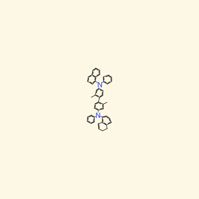 Cc1cc(N(c2ccccc2)c2cccc3c2C=CCC3)ccc1-c1ccc(N(c2ccccc2)c2cccc3ccccc23)cc1C